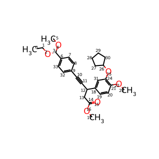 CCO[C@H](OC)c1ccc(C#CC(CC(=O)OC)c2ccc(OC)c(OC3CCCC3)c2)cc1